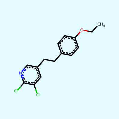 CCOc1ccc(CCc2cnc(Cl)c(Cl)c2)cc1